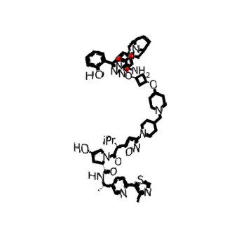 Cc1ncsc1-c1ccc([C@H](C)NC(=O)[C@@H]2C[C@@H](O)CN2C(=O)[C@@H](c2cc(N3CCC(CN4CCC(O[C@H]5C[C@H](Oc6cc(N7C8CCC7CN(c7cc(-c9ccccc9O)nnc7N)C8)ccn6)C5)CC4)CC3)no2)C(C)C)cn1